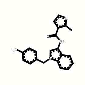 Cc1occc1C(=O)Nc1cn(Cc2ccc(C(F)(F)F)cc2)c2ccccc12